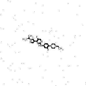 CCN1CCN(c2ccc(Nc3ncc(F)c(-c4cnn(C(C)C)c4)n3)cc2F)CC1